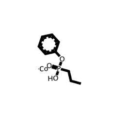 CCCP(=O)(O)Oc1ccccc1.[Co]